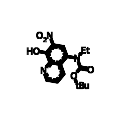 CCN(C(=O)OC(C)(C)C)c1cc([N+](=O)[O-])c(O)c2ncccc12